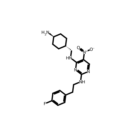 N[C@H]1CC[C@H](CNc2nc(NCCc3ccc(F)cc3)ncc2[N+](=O)[O-])CC1